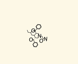 CCC(C)CC1[C@@H](C(=O)c2ccccc2)CN(CC(=O)N(C)C)C[C@@H]1C(=O)c1ccccc1